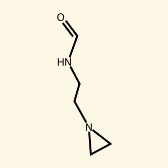 O=CNCCN1CC1